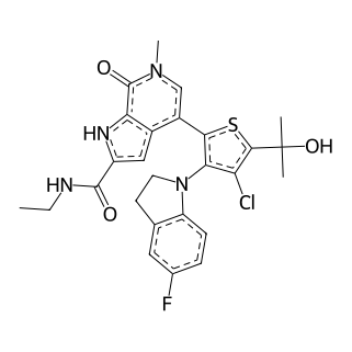 CCNC(=O)c1cc2c(-c3sc(C(C)(C)O)c(Cl)c3N3CCc4cc(F)ccc43)cn(C)c(=O)c2[nH]1